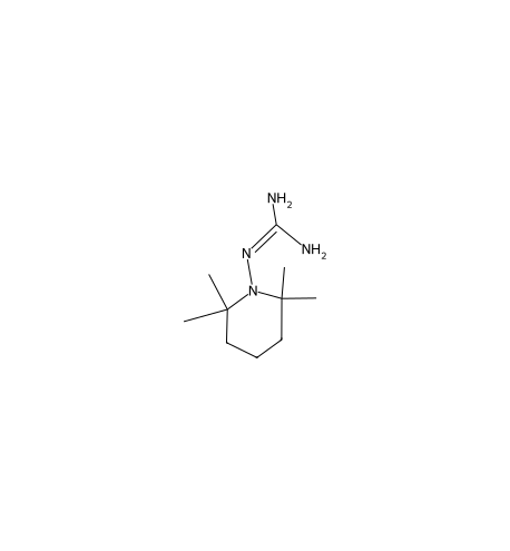 CC1(C)CCCC(C)(C)N1N=C(N)N